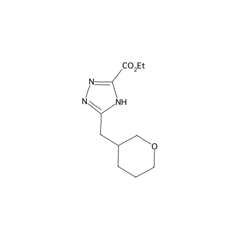 CCOC(=O)c1nnc(CC2CCCOC2)[nH]1